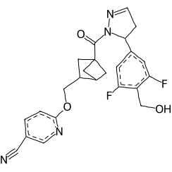 N#Cc1ccc(OCC2CC3(C(=O)N4N=CCC4c4cc(F)c(CO)c(F)c4)CC2C3)nc1